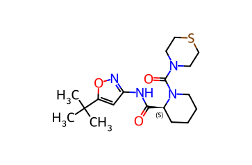 CC(C)(C)c1cc(NC(=O)[C@@H]2CCCCN2C(=O)N2CCSCC2)no1